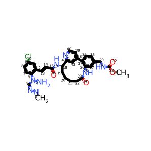 C=N/N=C\N(N)c1ccc(Cl)cc1/C=C/C(=O)N[C@H]1CCCCC(=O)Nc2cc(CNC(=O)OC)ccc2-c2ccnc1c2